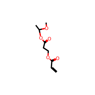 C=CC(=O)OCCC(=O)OC(C)OC